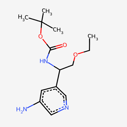 CCOCC(NC(=O)OC(C)(C)C)c1cncc(N)c1